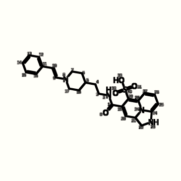 O=C(NCCC1CCN(C=Cc2ccccc2)CC1)C1=CC2CNC3=CC=CC(=C1S(=O)(=O)O)N32